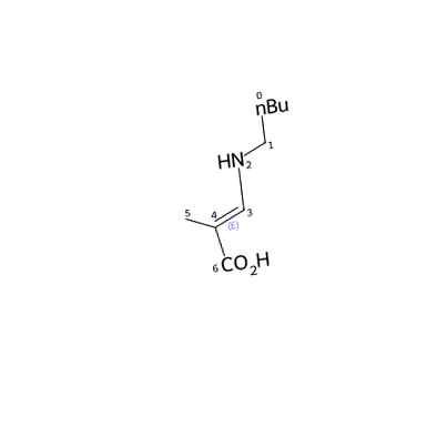 CCCCCN/C=C(\C)C(=O)O